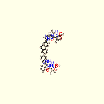 COC(=O)N[C@H](C(=O)N[C@H](c1nc2ccc(-c3ccc4c(c3)CCc3cc(-c5cnc([C@@H]6CCCN6C(=O)[C@@H](NC(=O)OC)C(C)C)[nH]5)ccc3-4)cc2[nH]1)C1CCCC1)C(C)C